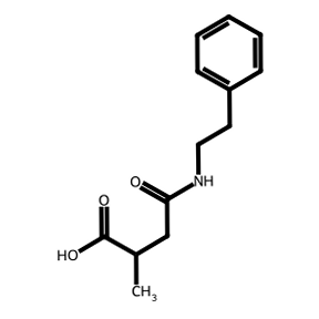 CC(CC(=O)NCCc1ccccc1)C(=O)O